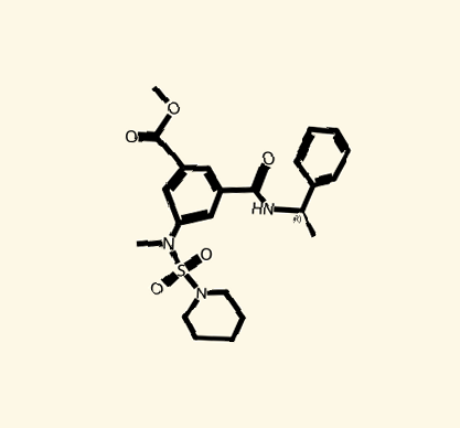 COC(=O)c1cc(C(=O)N[C@H](C)c2ccccc2)cc(N(C)S(=O)(=O)N2CCCCC2)c1